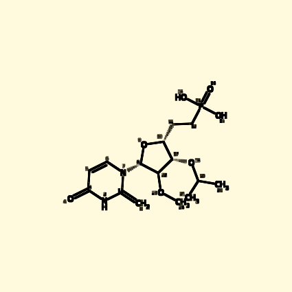 C=C1NC(=O)C=CN1[C@@H]1O[C@H](CCP(=O)(O)O)[C@H](OC(C)C)C1OC